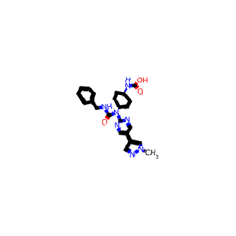 Cn1cc(-c2cnc(N(C(=O)NCc3ccccc3)[C@H]3CC[C@H](NC(=O)O)CC3)nc2)cn1